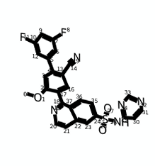 COc1cc(-c2cc(F)cc(F)c2)c(C#N)cc1-c1nccc2cc(S(=O)(=O)Nc3ccncn3)ccc12